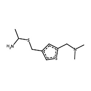 CC(N)SCc1csc(CN(C)C)c1